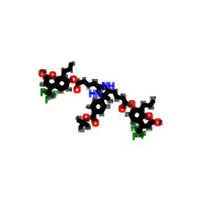 CCCc1c(OC(=O)CCCC2NC(CCCC(=O)Oc3ccc4c(C(F)(F)F)cc(=O)oc4c3CCC)C(C)(c3ccc(C(=O)OC(C)(C)C)cc3)N2)ccc2c(C(F)(F)F)cc(=O)oc12